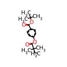 CCC(C)(C)C(=O)Oc1ccc(C(=O)OC(C)(C)C)cc1